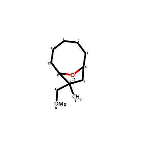 COCC1(C)CC2CCCCCC1O2